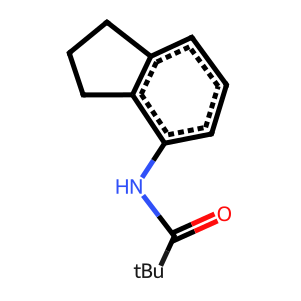 CC(C)(C)C(=O)Nc1cccc2c1CCC2